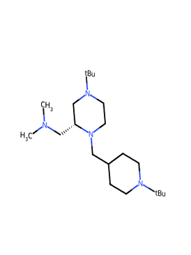 CN(C)C[C@@H]1CN(C(C)(C)C)CCN1CC1CCN(C(C)(C)C)CC1